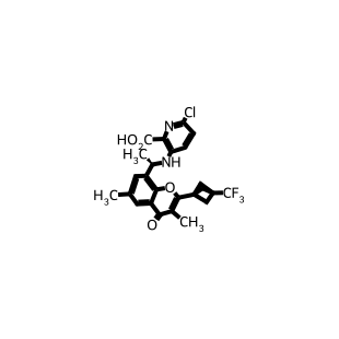 Cc1cc([C@@H](C)Nc2ccc(Cl)nc2C(=O)O)c2oc(C34CC(C(F)(F)F)(C3)C4)c(C)c(=O)c2c1